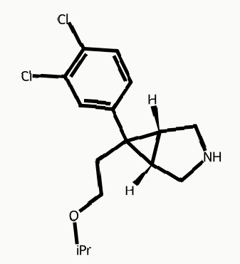 CC(C)OCCC1(c2ccc(Cl)c(Cl)c2)[C@@H]2CNC[C@@H]21